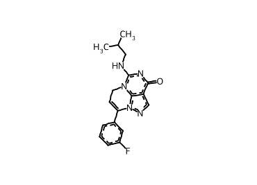 CC(C)CNc1nc(=O)c2cnn3c2n1CC=C3c1cccc(F)c1